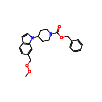 COOCc1ccc2ccn(C3CCN(C(=O)OCc4ccccc4)CC3)c2c1